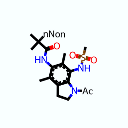 CCCCCCCCCC(C)(C)C(=O)Nc1c(C)c2c(c(NS(C)(=O)=O)c1C)N(C(C)=O)CC2